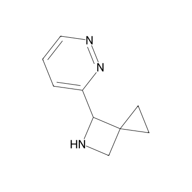 c1cnnc(C2NCC23CC3)c1